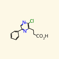 O=C(O)CCc1nc(-c2ccccc2)cnc1Cl